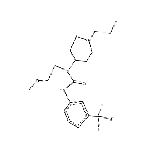 CCCN1CCC(N(CCOC)C(=O)Nc2cccc(C(F)(F)F)c2)CC1